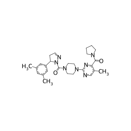 Cc1cc(C)cc(C2CC=NN2C(=O)N2CCN(c3ncc(C)c(C(=O)N4CCCC4)n3)CC2)c1